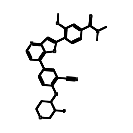 COc1cc(C(=O)N(C)C)ccc1-c1cc2nccc(-c3ccc(OC4CCOCC4F)c(C#N)c3)c2o1